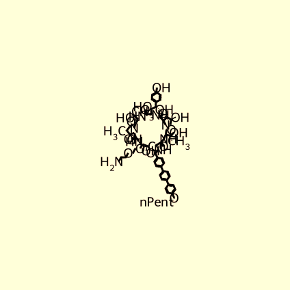 CCCCCOc1ccc(-c2ccc(-c3ccc(C(=O)N[C@H]4C[C@@H](O)C(OCCOCCN)NC(=O)C5[C@@H](O)[C@@H](C)CN5C(=O)C([C@@H](C)O)NC(=O)C([C@H](O)[C@@H](O)c5ccc(O)cc5)NC(=O)C5C[C@@H](O)CN5C(=O)C([C@@H](C)O)NC4=O)cc3)cc2)cc1